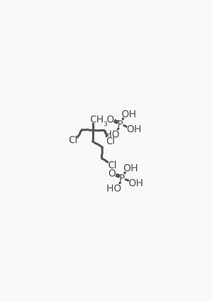 CC(CCl)(CCl)CCCCl.O=P(O)(O)O.O=P(O)(O)O